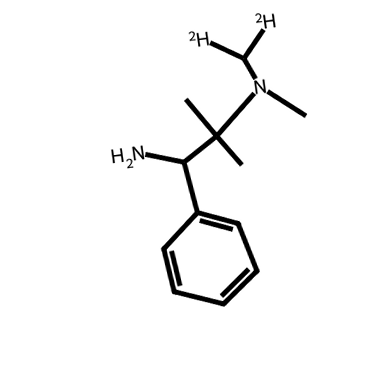 [2H]C([2H])N(C)C(C)(C)C(N)c1ccccc1